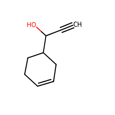 C#CC(O)C1CC=CCC1